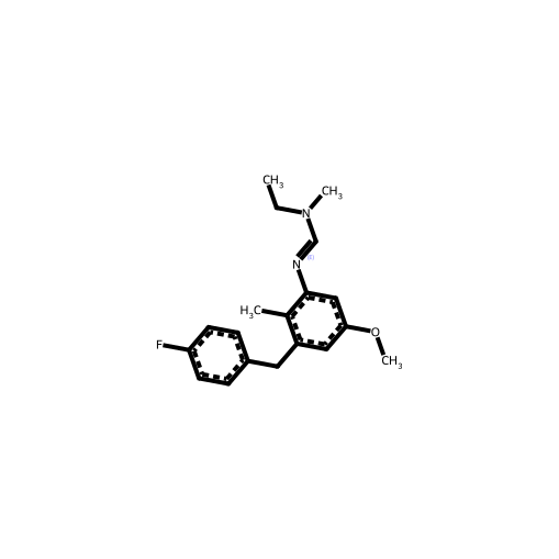 CCN(C)/C=N/c1cc(OC)cc(Cc2ccc(F)cc2)c1C